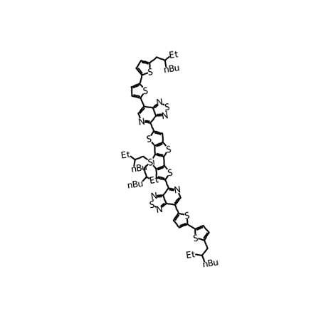 CCCCC(CC)Cc1ccc(-c2ccc(-c3cnc(-c4cc5c(s4)-c4sc6cc(-c7ncc(-c8ccc(-c9ccc(CC(CC)CCCC)s9)s8)c8nsnc78)sc6c4[Si]5(CC(CC)CCCC)CC(CC)CCCC)c4nsnc34)s2)s1